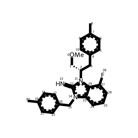 COC[C@H](Cc1ccc(C)cc1)n1c(=N)n(Cc2ccc(C)cc2)c2cccc(F)c21